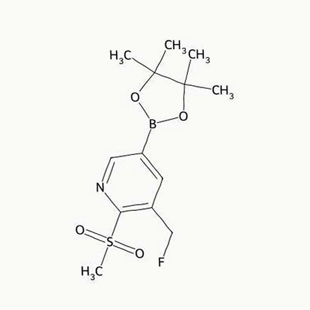 CC1(C)OB(c2cnc(S(C)(=O)=O)c(CF)c2)OC1(C)C